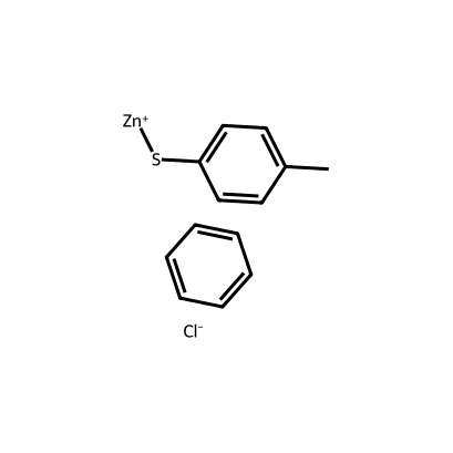 Cc1ccc([S][Zn+])cc1.[Cl-].c1ccccc1